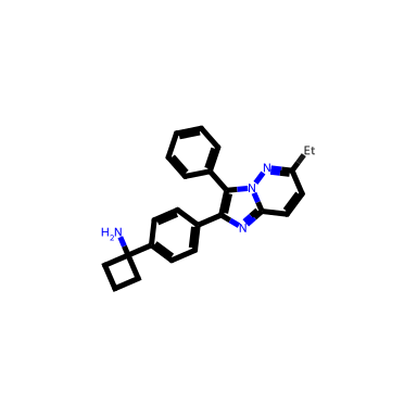 CCc1ccc2nc(-c3ccc(C4(N)CCC4)cc3)c(-c3ccccc3)n2n1